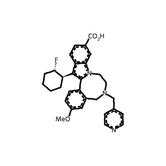 COc1ccc2c(c1)CN(Cc1ccncc1)CCn1c-2c([C@H]2CCCC[C@@H]2F)c2ccc(C(=O)O)cc21